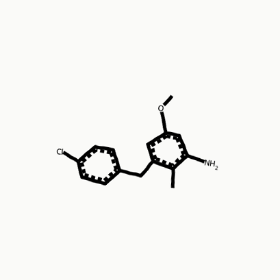 COc1cc(N)c(C)c(Cc2ccc(Cl)cc2)c1